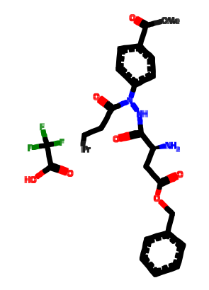 COC(=O)c1ccc(N(NC(=O)[C@@H](N)CC(=O)OCc2ccccc2)C(=O)CCC(C)C)cc1.O=C(O)C(F)(F)F